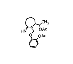 CC(=O)Oc1ccccc1OCN1C(=N)CCCCC1C(C)OC(C)=O